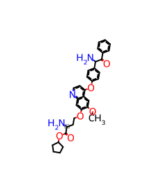 COc1cc2c(Oc3ccc(C(N)C(=O)c4ccccc4)cc3)ccnc2cc1OCC[C@H](N)C(=O)OC1CCCC1